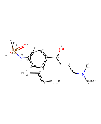 CCCCCCCN(CC)CCCC(O)c1ccc(NS(C)(=O)=O)cc1.O=C(O)C=CC(=O)O